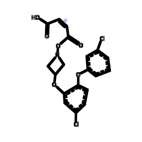 O=C(O)/C=C\C(=O)ON1CC(Oc2cc(Cl)ccc2Oc2cccc(Cl)c2)C1